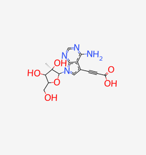 C[C@@]1(O)C(O)C(CO)OC1n1cc(C#CC(=O)O)c2c(N)ncnc21